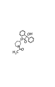 CC(=O)N1CCCC(OC(=O)C(O)(c2ccccc2)c2ccccc2)C1